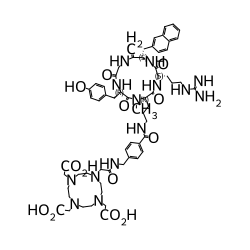 C=C1NCC(=O)N[C@H](Cc2ccc(O)cc2)C(=O)N(C)[C@H](CCCNC(=O)c2ccc(CNC(=O)CN3CCN(CC(=O)O)CCN(CC(=O)O)CCN(CC(=O)O)CC3)cc2)C(=O)N[C@@H](CCCNC(=N)N)C(=O)N[C@H]1Cc1ccc2ccccc2c1